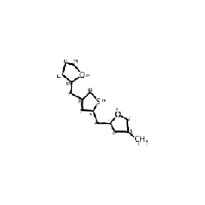 CC1COC(CC2CC(CC3CCCO3)CS2)C1